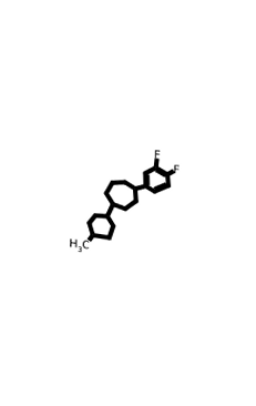 CC1CCC(C2CCCC(c3ccc(F)c(F)c3)CC2)CC1